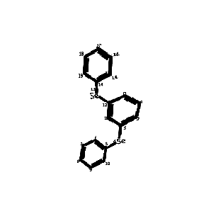 [c]1ccc([Se]c2ccccc2)cc1[Se]c1ccccc1